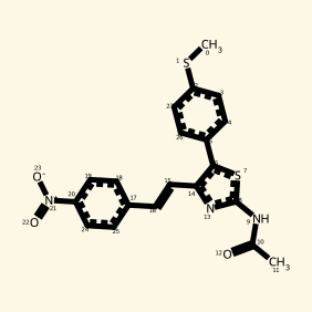 CSc1ccc(-c2sc(NC(C)=O)nc2C=Cc2ccc([N+](=O)[O-])cc2)cc1